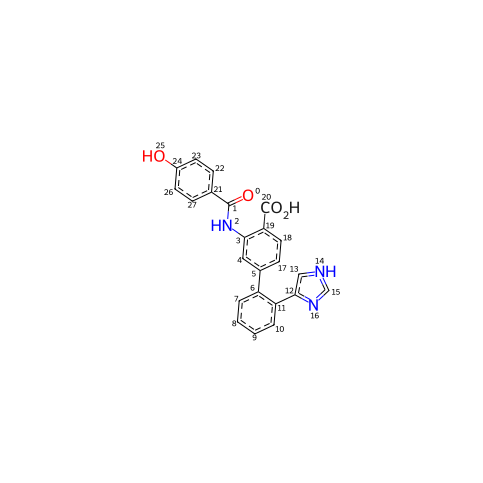 O=C(Nc1cc(-c2ccccc2-c2c[nH]cn2)ccc1C(=O)O)c1ccc(O)cc1